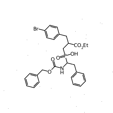 CCOC(=O)C(Cc1ccc(Br)cc1)CP(=O)(O)C(Cc1ccccc1)NC(=O)OCc1ccccc1